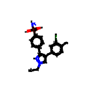 Cc1ccc(-c2cn(CC#N)nc2-c2ccc(S(N)(=O)=O)cc2)cc1F